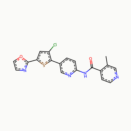 Cc1cnccc1C(=O)Nc1ccc(-c2sc(-c3ncco3)cc2Cl)cn1